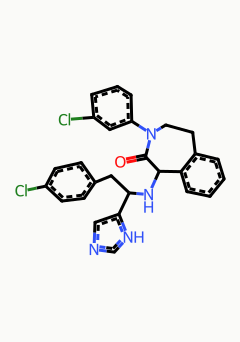 O=C1C(NC(Cc2ccc(Cl)cc2)c2cnc[nH]2)c2ccccc2CCN1c1cccc(Cl)c1